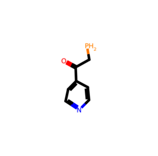 O=C(CP)c1ccncc1